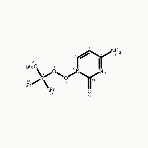 CO[Si](OOn1ccc(N)nc1=O)(C(C)C)C(C)C